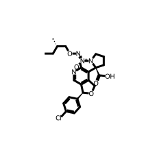 CC[C@H](C)CON=[N+]([O-])N1CCC[C@]1(C(=O)O)c1c(C)ncc2c1CO[C@H]2c1ccc(Cl)cc1